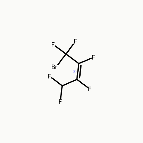 F/C(=C(\F)C(F)(F)Br)C(F)F